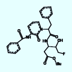 CC(C)(C)OC(=O)CC(NC(=O)C(Cc1ccccc1)n1cccc(NC(=O)c2ccccc2)c1=O)C(O)CF